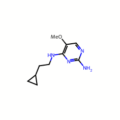 COc1cnc(N)nc1NCCC1CC1